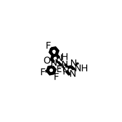 CC[C@H](Nc1ncnc2[nH]cnc12)c1nc2ccc(F)cc2c(=O)n1-c1cc(F)cc(F)c1